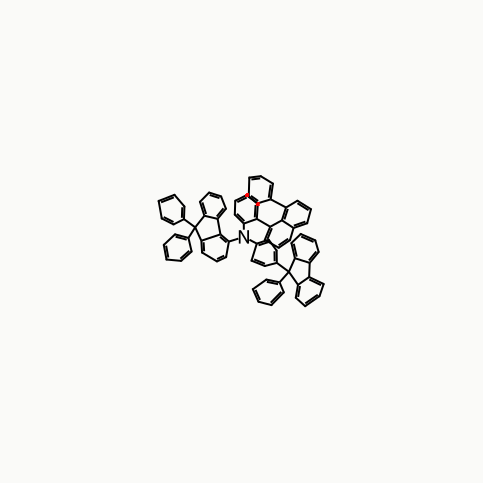 c1ccc(-c2cccc3cccc(-c4ccccc4N(c4ccc(C5(c6ccccc6)c6ccccc6-c6ccccc65)cc4)c4cccc5c4-c4ccccc4C5(c4ccccc4)c4ccccc4)c23)cc1